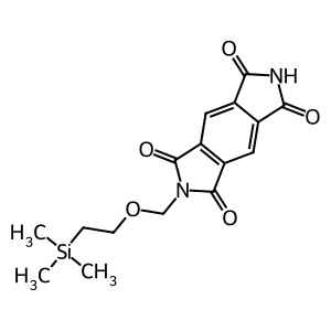 C[Si](C)(C)CCOCn1c(=O)c2cc3c(=O)[nH]c(=O)c3cc2c1=O